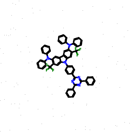 FC(F)(F)c1cc2c(cc1N(c1ccccc1)c1ccccc1)c1cc(N(c3ccccc3)c3ccccc3)c(C(F)(F)F)cc1n2-c1ccc(-c2nc(-c3ccccc3)nc(-c3ccccc3)n2)cc1